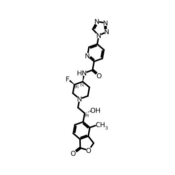 Cc1c([C@@H](O)CN2CC[C@H](NC(=O)c3ccc(-n4cnnn4)cn3)[C@H](F)C2)ccc2c1COC2=O